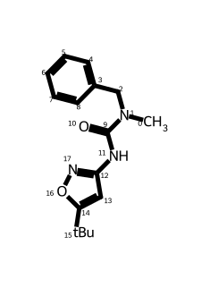 CN(Cc1ccccc1)C(=O)Nc1cc(C(C)(C)C)on1